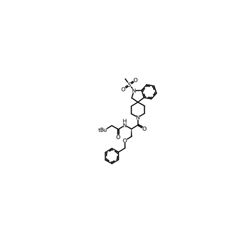 CC(C)(C)CC(=O)N[C@H](COCc1ccccc1)C(=O)N1CCC2(CC1)CN(S(C)(=O)=O)c1ccccc12